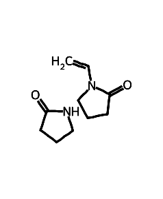 C=CN1CCCC1=O.O=C1CCCN1